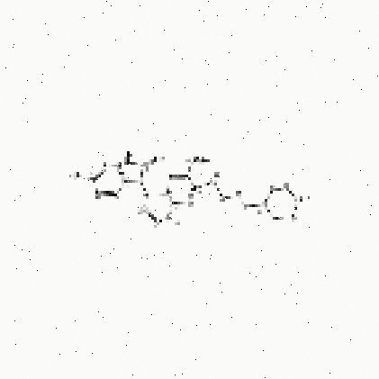 COc1cc2c(C3C(=O)Nc4cc(F)ccc43)ncnc2cc1OCCCN1CCOCC1